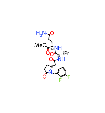 COC(=O)[C@H](CCC(N)=O)NC(=O)[C@@H](NC(=O)C[C@@H]1CCC(=O)N1Cc1cccc(F)c1F)C(C)C